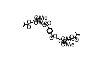 C=C(C)C(=O)OCCC[Si](OC)(OC)OCCOC(=O)c1ccc(C(=O)OCCO[Si](CCOC(=O)C(=C)C)(OC)OC)cc1